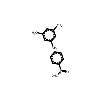 Cc1cc(C)cc(C)c1.O=C[PH](=O)c1ccccc1